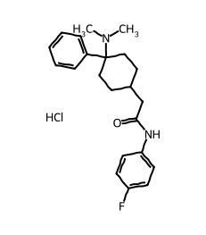 CN(C)C1(c2ccccc2)CCC(CC(=O)Nc2ccc(F)cc2)CC1.Cl